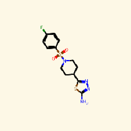 Nc1nnc(C2CCN(S(=O)(=O)c3ccc(F)cc3)CC2)s1